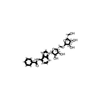 O=C(Nc1ncnc2c1ncn2[C@@H]1O[C@H](COC2O[C@H](CO)[C@@H](O)[C@H]2O)[C@@H](O)[C@H]1O)c1ccccc1